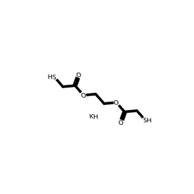 O=C(CS)OCCOC(=O)CS.[KH]